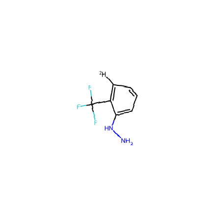 [2H]c1cccc(NN)c1C(F)(F)F